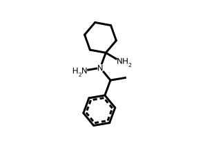 CC(c1ccccc1)N(N)C1(N)CCCCC1